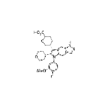 COc1cc(-n2c(C3CCOCC3)c([C@H]3CCC(C(=O)O)OC3)c3cc4[nH]ncc4cc32)ccc1F